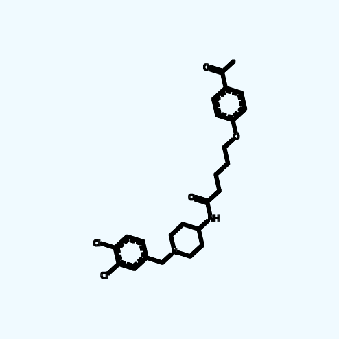 CC(=O)c1ccc(OCCCCC(=O)NC2CCN(Cc3ccc(Cl)c(Cl)c3)CC2)cc1